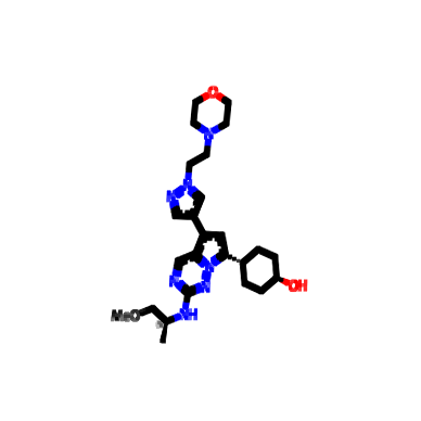 COC[C@H](C)Nc1ncc2c(-c3cnn(CCN4CCOCC4)c3)cc([C@H]3CC[C@H](O)CC3)n2n1